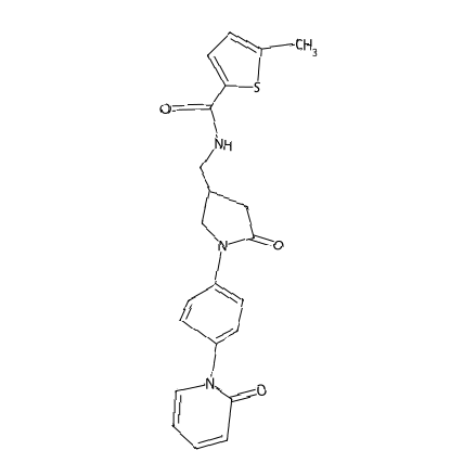 Cc1ccc(C(=O)NCC2CC(=O)N(c3ccc(-n4ccccc4=O)cc3)C2)s1